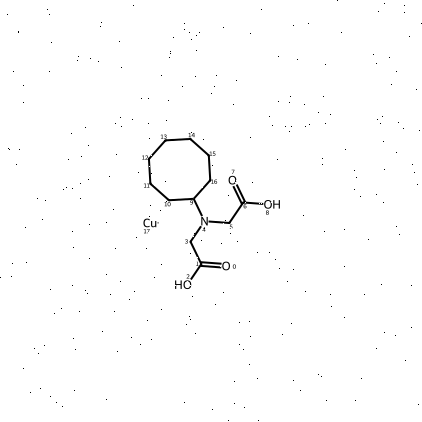 O=C(O)CN(CC(=O)O)C1CCCCCCC1.[Cu]